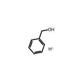 OCc1cc[c]cc1.[H+]